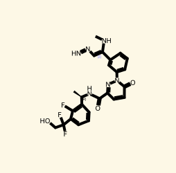 CN/C(=C\N=N)c1cccc(-n2nc(C(=O)N[C@H](C)c3cccc(C(F)(F)CO)c3F)ccc2=O)c1